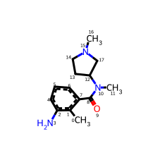 Cc1c(N)cccc1C(=O)N(C)C1CCN(C)C1